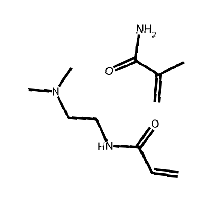 C=C(C)C(N)=O.C=CC(=O)NCCN(C)C